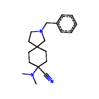 CN(C)C1(C#N)CCC2(CCN(Cc3ccccc3)C2)CC1